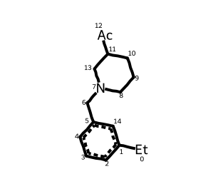 CCc1cccc(CN2CCCC(C(C)=O)C2)c1